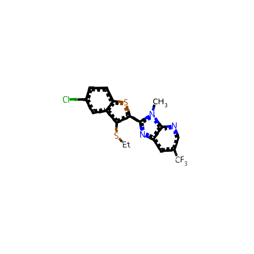 CCSc1c(-c2nc3cc(C(F)(F)F)cnc3n2C)sc2ccc(Cl)cc12